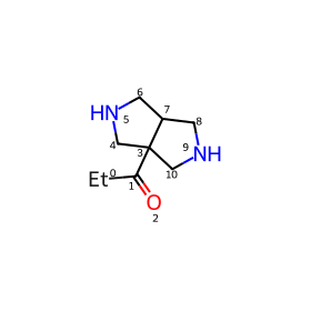 CCC(=O)C12CNCC1CNC2